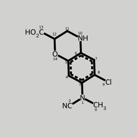 CN(C#N)c1cc2c(cc1Cl)NCC(C(=O)O)O2